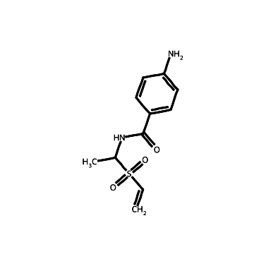 C=CS(=O)(=O)C(C)NC(=O)c1ccc(N)cc1